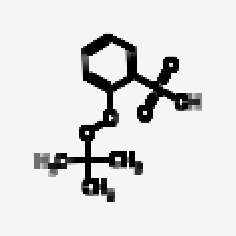 CC(C)(C)OOc1ccccc1S(=O)(=O)O